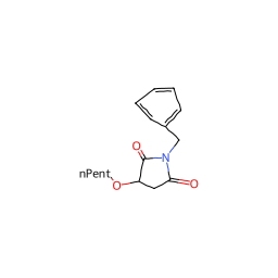 CCCCCOC1CC(=O)N(Cc2ccccc2)C1=O